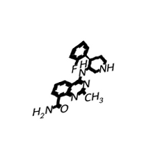 Cc1nc(NC2CNCC[C@@H]2c2ccccc2F)c2cccc(C(N)=O)c2n1